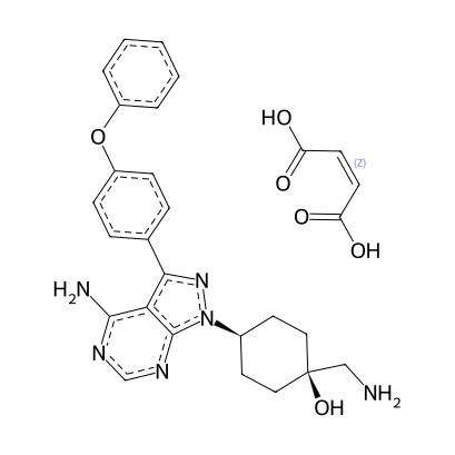 NC[C@]1(O)CC[C@@H](n2nc(-c3ccc(Oc4ccccc4)cc3)c3c(N)ncnc32)CC1.O=C(O)/C=C\C(=O)O